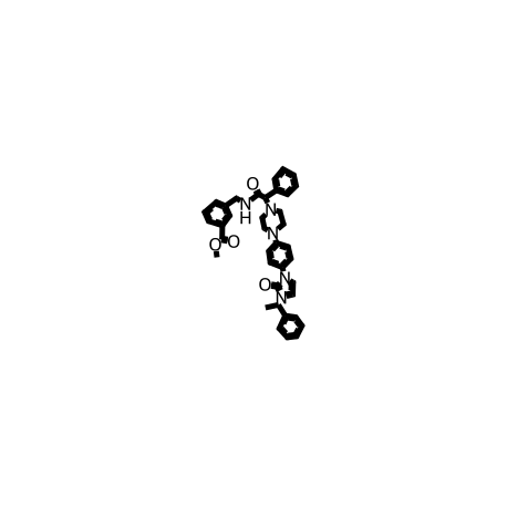 COC(=O)c1cccc(CNC(=O)C(c2ccccc2)N2CCN(c3ccc(-n4ccn(C(C)c5ccccc5)c4=O)cc3)CC2)c1